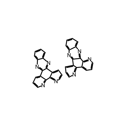 c1ccc2nc3c4cccnc4c4ncccc4c3nc2c1.c1ccc2nc3c4ncccc4c4ncccc4c3nc2c1